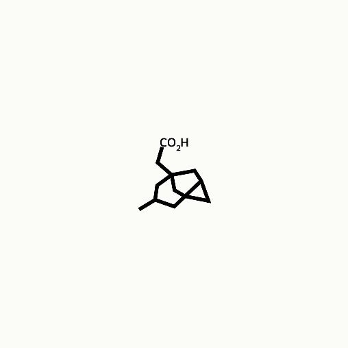 CC1CC2(CC(=O)O)CC3CC3(C1)C2